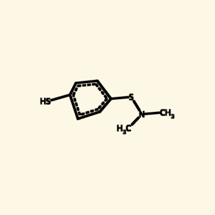 CN(C)Sc1ccc(S)cc1